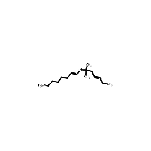 CCC=CCC(C)(C)[N]C=CCCCCCC